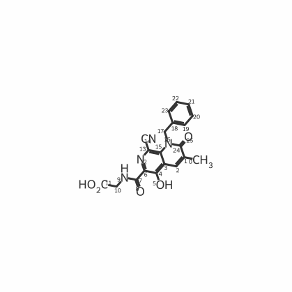 Cc1cc2c(O)c(C(=O)NCC(=O)O)nc(C#N)c2n(Cc2ccccc2)c1=O